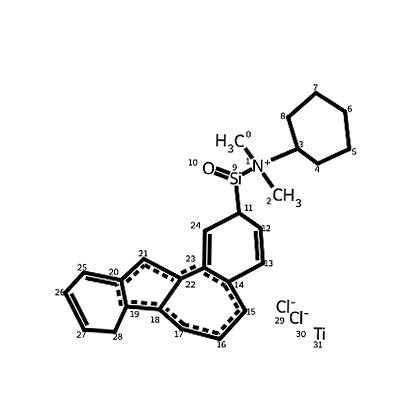 C[N+](C)(C1CCCCC1)[Si](=O)C1C=Cc2cccc3c4c(cc-3c2=C1)=CC=CC4.[Cl-].[Cl-].[Ti]